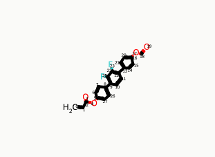 C=CC(=O)Oc1ccc(-c2ccc(-c3ccc(OC=O)cc3)c(F)c2F)cc1